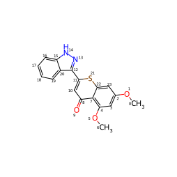 COc1cc(OC)c2c(=O)cc(-c3n[nH]c4ccccc34)sc2c1